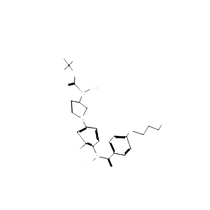 CCCCOc1ccc(C(=O)N(C)c2ccc(N3CCC(N(C)C(=O)OC(C)(C)C)C3)cc2F)cc1